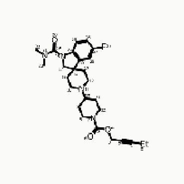 CCC#CCOC(=O)N1CCC(N2CCC3(CC2)CN(C(=O)N(C)C)c2ccc(F)cc23)CC1